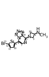 CNC1CN(c2ncc(-c3ccc(Br)s3)n3nnnc23)C1